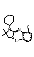 CC1(C)CSC(=Nc2c(Cl)cccc2Cl)N1C1CCCCC1